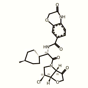 C[C@H]1CC[C@H]([C@H](NC(=O)c2ccc3c(c2)OCC(=O)N3)C(=O)N2C[C@H](Cl)[C@H]3OCC(=O)[C@H]32)CC1